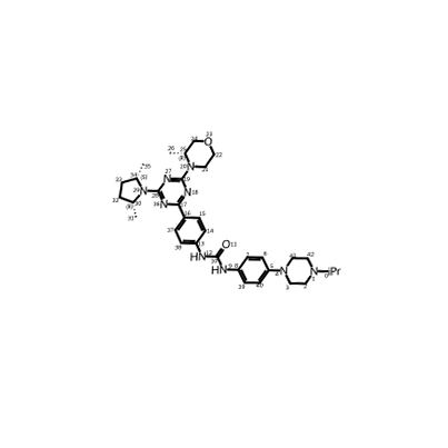 CC(C)N1CCN(c2ccc(NC(=O)Nc3ccc(-c4nc(N5CCOC[C@H]5C)nc(N5[C@H](C)CC[C@@H]5C)n4)cc3)cc2)CC1